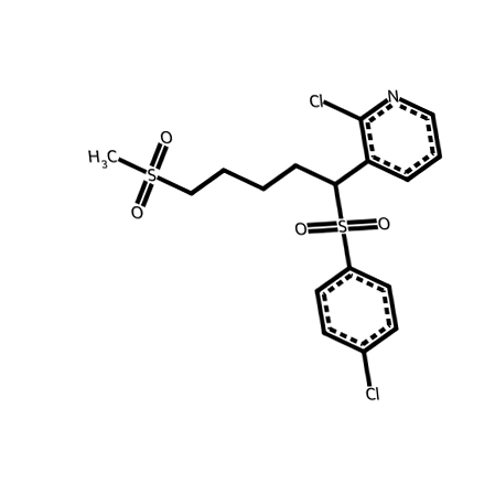 CS(=O)(=O)CCCCC(c1cccnc1Cl)S(=O)(=O)c1ccc(Cl)cc1